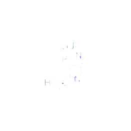 CN(C)C(F)(c1ccnc(C(=O)O)c1)C(F)F